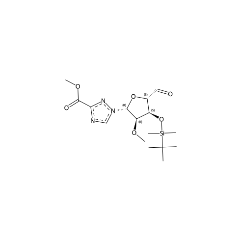 COC(=O)c1ncn([C@@H]2O[C@H](C=O)[C@@H](O[Si](C)(C)C(C)(C)C)[C@H]2OC)n1